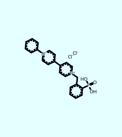 O=P(O)(O)c1ccccc1C[n+]1ccc(-c2cc[n+](-c3ccccc3)cc2)cc1.[Cl-].[Cl-]